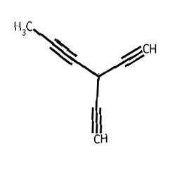 C#C[C](C#C)C#CC